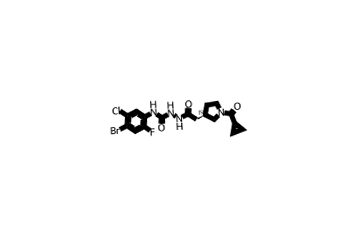 O=C(C[C@@H]1CCN(C(=O)C2CC2)C1)NNC(=O)Nc1cc(Cl)c(Br)cc1F